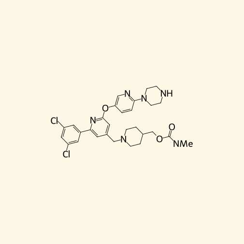 CNC(=O)OCC1CCN(Cc2cc(Oc3ccc(N4CCNCC4)nc3)nc(-c3cc(Cl)cc(Cl)c3)c2)CC1